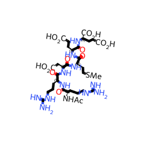 CSCC[C@@H](NC(=O)[C@H](CC(=O)O)NC(=O)[C@H](CCCNC(=N)N)NC(=O)[C@H](CCCNC(=N)N)NC(C)=O)C(=O)N[C@@H](CCC(=O)O)C(=O)N[C@@H](CCC(=O)O)C(=O)O